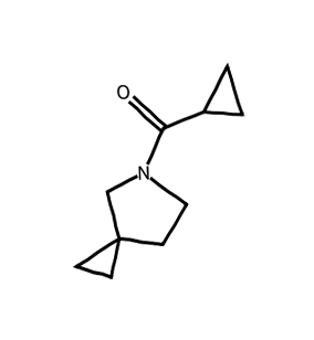 O=C(C1CC1)N1CCC2(CC2)C1